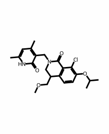 COCC1CN(Cc2c(C)cc(C)[nH]c2=O)C(=O)c2c1ccc(OC(C)C)c2Cl